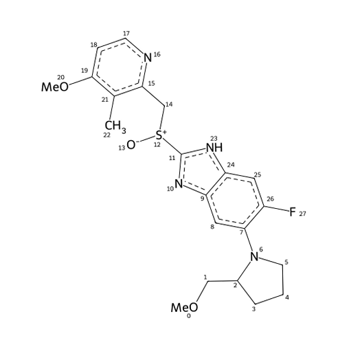 COCC1CCCN1c1cc2nc([S+]([O-])Cc3nccc(OC)c3C)[nH]c2cc1F